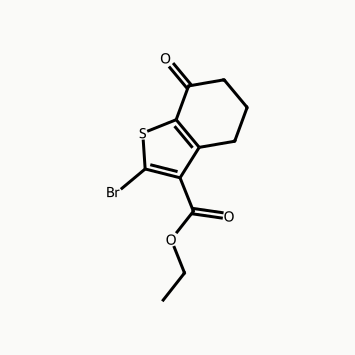 CCOC(=O)c1c(Br)sc2c1CCCC2=O